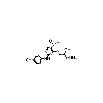 NCC(O)CNc1nc(Nc2ccc(Cl)cc2)ncc1[N+](=O)[O-]